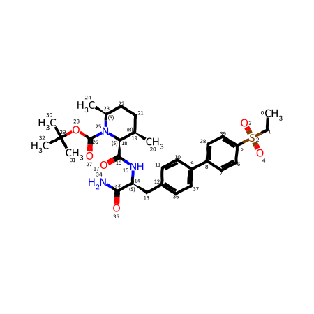 CCS(=O)(=O)c1ccc(-c2ccc(C[C@H](NC(=O)[C@@H]3[C@H](C)CC[C@H](C)N3C(=O)OC(C)(C)C)C(N)=O)cc2)cc1